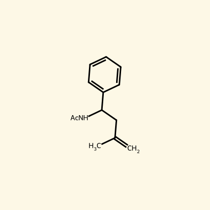 C=C(C)CC(NC(C)=O)c1ccccc1